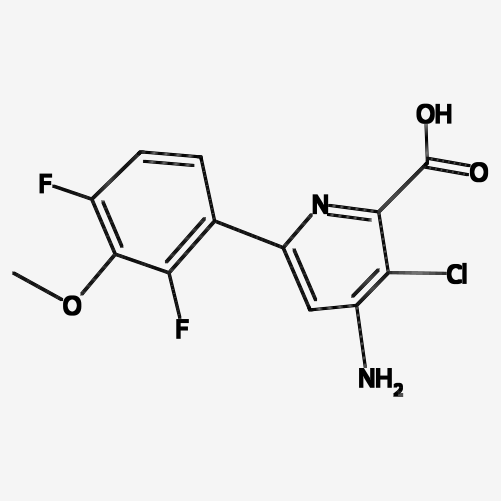 COc1c(F)ccc(-c2cc(N)c(Cl)c(C(=O)O)n2)c1F